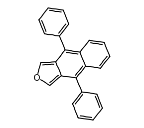 c1ccc(-c2c3ccccc3c(-c3ccccc3)c3cocc23)cc1